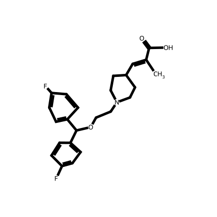 C/C(=C\C1CCN(CCOC(c2ccc(F)cc2)c2ccc(F)cc2)CC1)C(=O)O